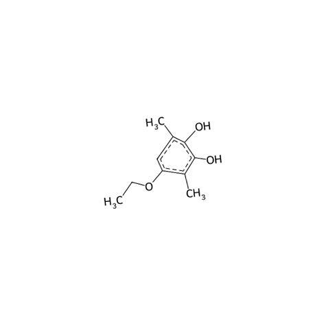 CCOc1cc(C)c(O)c(O)c1C